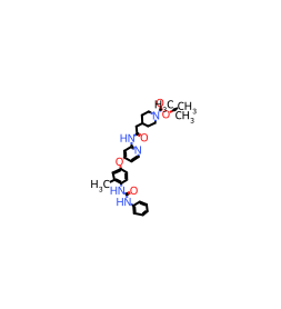 Cc1cc(Oc2ccnc(NC(=O)CC3CCN(C(=O)OC(C)(C)C)CC3)c2)ccc1NC(=O)Nc1ccccc1